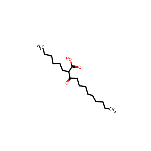 CCCCCCCCCC(=O)C(CCCCCC)C(=O)O